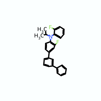 CC(C)N(c1ccccc1F)c1ccc(-c2cccc(-c3ccccc3)c2)cc1F